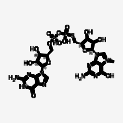 C[n+]1cn([C@@H]2O[C@H](CSP(=O)(O)OP(=O)(O)OC[C@H]3O[C@@H](n4cnc5c(=O)[nH]c(N)nc54)[C@@H](O)[C@H]3O)C(O)C2O)c2nc(N)nc(O)c21